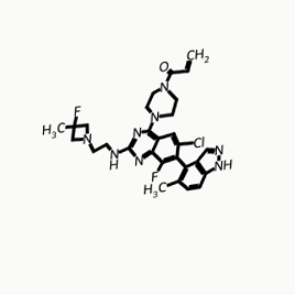 C=CC(=O)N1CCN(c2nc(NCCN3CC(C)(F)C3)nc3c(F)c(-c4c(C)ccc5[nH]ncc45)c(Cl)cc23)CC1